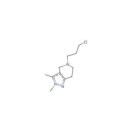 Cc1c2c(nn1C)CCN(CCCCl)C2